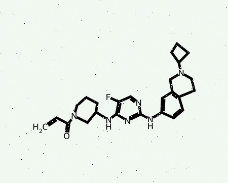 C=CC(=O)N1CCCC(Nc2nc(Nc3ccc4c(c3)CN(C3CCC3)CC4)ncc2F)C1